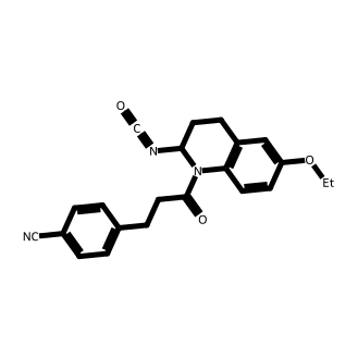 CCOc1ccc2c(c1)CCC(N=C=O)N2C(=O)CCc1ccc(C#N)cc1